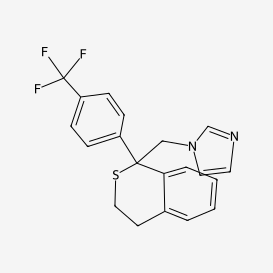 FC(F)(F)c1ccc(C2(Cn3ccnc3)SCCc3ccccc32)cc1